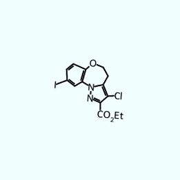 CCOC(=O)c1nn2c(c1Cl)CCOc1ccc(I)cc1-2